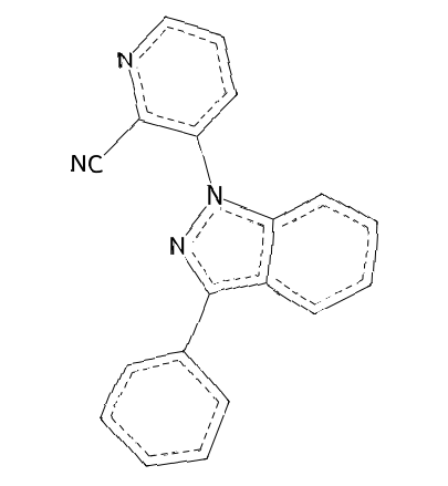 N#Cc1ncccc1-n1nc(-c2ccccc2)c2ccccc21